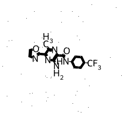 Cc1nc(C(=O)N[C@H]2CC[C@@H](C(F)(F)F)CC2)c(N)nc1-c1ncco1